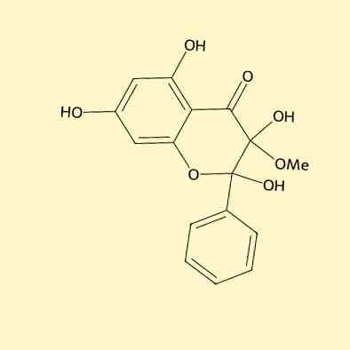 COC1(O)C(=O)c2c(O)cc(O)cc2OC1(O)c1ccccc1